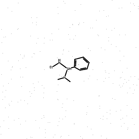 CCN[SiH](c1ccccc1)N(C)C